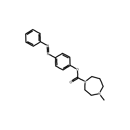 CN1CCCN(C(=O)Oc2ccc(/N=N/c3ccccc3)cc2)CC1